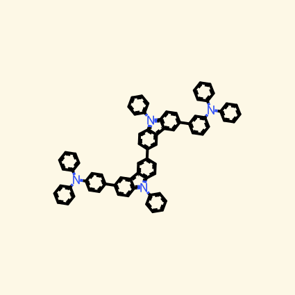 c1ccc(N(c2ccccc2)c2ccc(-c3ccc4c(c3)c3cc(-c5ccc6c(c5)c5cc(-c7cccc(N(c8ccccc8)c8ccccc8)c7)ccc5n6-c5ccccc5)ccc3n4-c3ccccc3)cc2)cc1